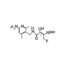 CN/C(CF)=C(\O)C(=O)NCc1c(C)cc(N)nc1C